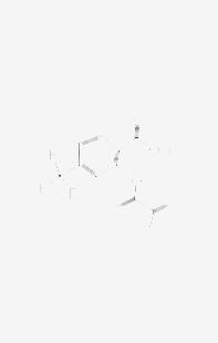 CC(=O)C(=O)Oc1cc(C(F)(F)F)ccc1C(=O)O